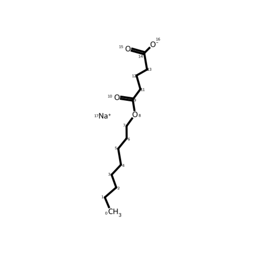 CCCCCCCCOC(=O)CCCC(=O)[O-].[Na+]